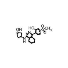 CS(=O)(=O)c1ccc(-c2nnc(N[C@H]3CC[C@@H](O)C3)c3ccccc23)c(O)c1